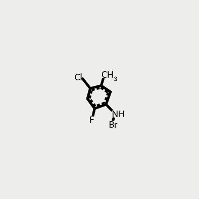 Cc1cc(NBr)c(F)cc1Cl